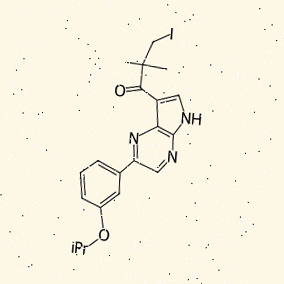 CC(C)Oc1cccc(-c2cnc3[nH]cc(C(=O)C(C)(C)CI)c3n2)c1